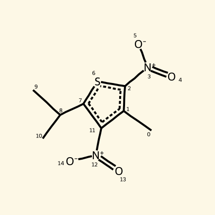 Cc1c([N+](=O)[O-])sc(C(C)C)c1[N+](=O)[O-]